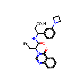 CC(C)C[C@@H](C(=O)N[C@@H](CC(=O)O)c1cccc(N2CCC2)c1)n1cnc2ccccc2c1=O